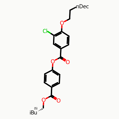 CCCCCCCCCCCCOc1ccc(C(=O)Oc2ccc(C(=O)OC[C@@H](C)CC)cc2)cc1Cl